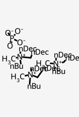 CCCCCCCCCCC[N+](C)(CCCC)CCCCCCCCCC.CCCCCCCCCCC[N+](C)(CCCC)CCCCCCCCCC.CCCCCCCCCCC[N+](C)(CCCC)CCCCCCCCCC.O=P([O-])([O-])[O-]